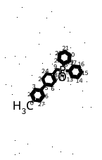 Cc1ccc(C2=CC=C(CP(=O)(c3ccccc3)c3ccccc3)CC2)cc1